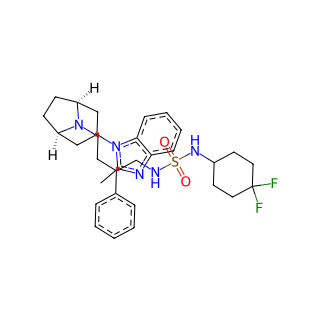 Cc1nc2ccccc2n1C1C[C@H]2CC[C@@H](C1)N2CCC(CNS(=O)(=O)NC1CCC(F)(F)CC1)c1ccccc1